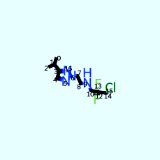 CC(C)c1cnn(CCNCC(F)(F)CCl)n1